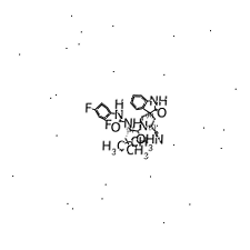 CC(C)(C)C[C@H](NC(=O)Nc1ccc(F)cc1F)C(O)N1C[C@]2(C[C@H]1C#N)C(=O)Nc1ccccc12